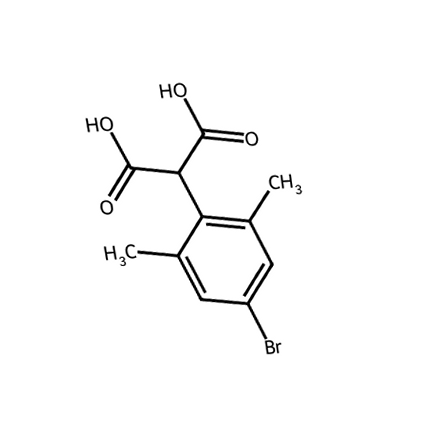 Cc1cc(Br)cc(C)c1C(C(=O)O)C(=O)O